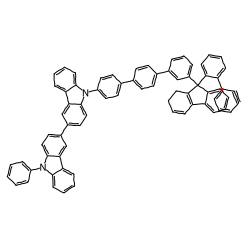 c1cccc(-c2ccccc2C2(c3cccc(-c4ccc(-c5ccc(-n6c7ccccc7c7cc(-c8ccc9c(c8)c8ccccc8n9-c8ccccc8)ccc76)cc5)cc4)c3)C3=C(C=CCC3)c3ccccc32)c#1